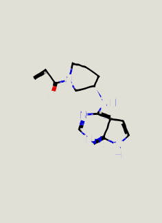 C=CC(=O)N1CCC[C@@H](NC(/N=C\N)=c2\cc[nH]c2=C)C1